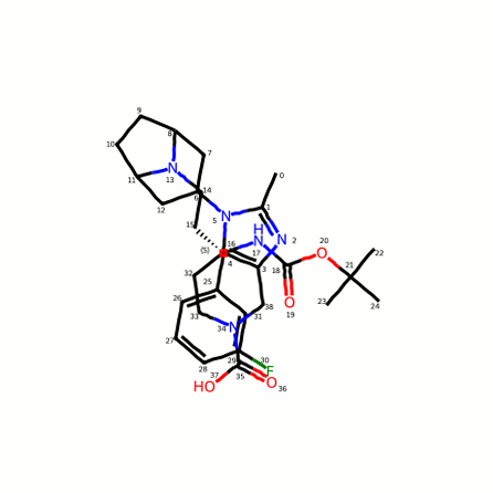 Cc1nc2c(n1C1CC3CCC(C1)N3CC[C@H](NC(=O)OC(C)(C)C)c1cccc(F)c1)CCN(C(=O)O)C2